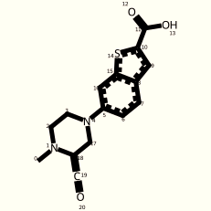 CN1CCN(c2ccc3cc(C(=O)O)sc3c2)CC1=C=O